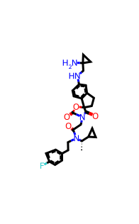 C[C@@H](C1CC1)N(CCc1ccc(F)cc1)C(=O)CN1C(=O)OC2(CCc3cc(NCC4(N)CC4)ccc32)C1=O